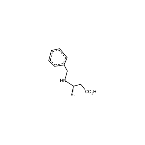 CC[C@H](CC(=O)O)NCc1ccccc1